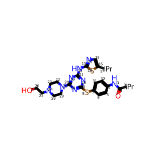 CC(C)C(=O)Nc1ccc(Sc2nc(Nc3ncc(C(C)C)s3)nc(N3CCN(CCO)CC3)n2)cc1